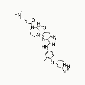 Cc1cc(Nc2ncnc3cc4c(nc23)N2CCCN(C(=O)/C=C/CN(C)C)[C@H](CO4)C2)ccc1Oc1ccn2ncnc2c1